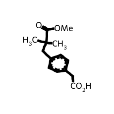 COC(=O)C(C)(C)Cc1ccc(CC(=O)O)cc1